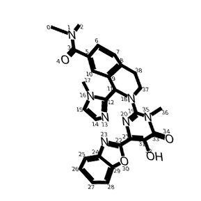 CN(C)C(=O)c1ccc2c(c1)C(c1nccn1C)N(c1nc(-c3nc4ccccc4o3)c(O)c(=O)n1C)CC2